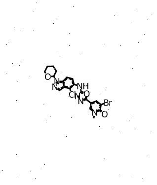 Cn1cc(-c2nnc(Nc3ccc4c(cnn4C4CCCCO4)c3Cl)o2)cc(Br)c1=O